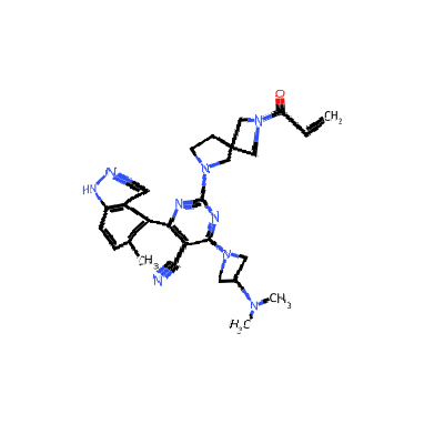 C=CC(=O)N1CC2(CCN(c3nc(-c4c(C)ccc5[nH]ncc45)c(C#N)c(N4CC(N(C)C)C4)n3)C2)C1